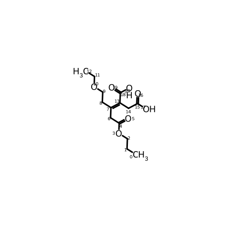 CCCOC(=O)CC(CCOCC)=C(CC(=O)O)C(=O)O